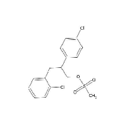 CS(=O)(=O)OCC(Cc1ccccc1Cl)c1ccc(Cl)cc1